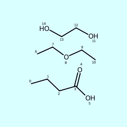 CCCC(=O)O.CCOCC.OCCO